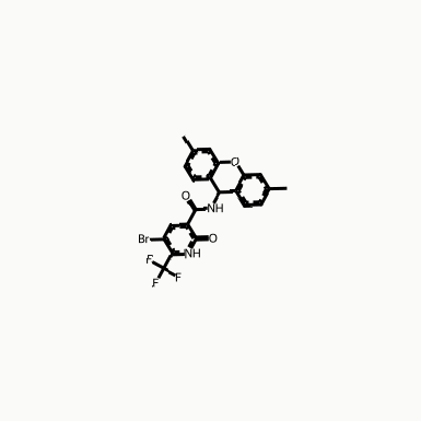 Cc1ccc2c(c1)Oc1cc(C)ccc1C2NC(=O)c1cc(Br)c(C(F)(F)F)[nH]c1=O